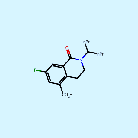 CCCC(CCC)N1CCc2c(C(=O)O)cc(F)cc2C1=O